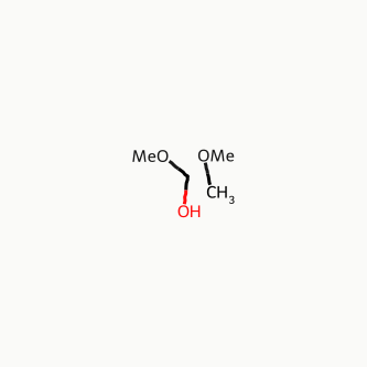 COC.COCO